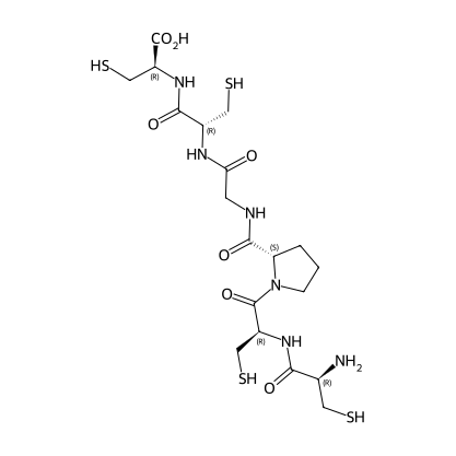 N[C@@H](CS)C(=O)N[C@@H](CS)C(=O)N1CCC[C@H]1C(=O)NCC(=O)N[C@@H](CS)C(=O)N[C@@H](CS)C(=O)O